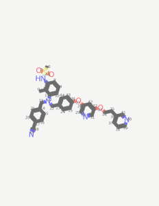 Cc1c(NS(C)(=O)=O)cccc1N(Cc1ccc(C#N)cc1)Cc1ccc(Oc2cncc(OCCc3cccnc3)c2)cc1